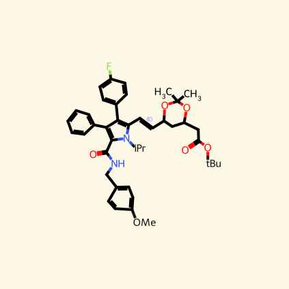 COc1ccc(CNC(=O)c2c(-c3ccccc3)c(-c3ccc(F)cc3)c(/C=C/C3CC(CC(=O)OC(C)(C)C)OC(C)(C)O3)n2C(C)C)cc1